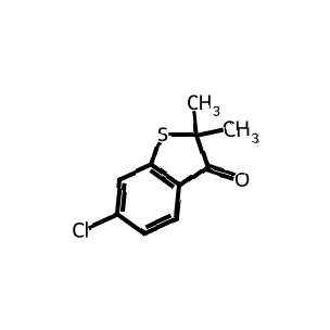 CC1(C)Sc2cc(Cl)ccc2C1=O